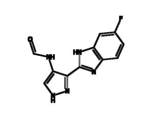 O=CNc1c[nH]nc1-c1nc2ccc(F)cc2[nH]1